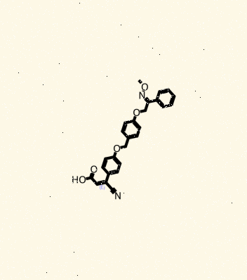 CON=C(COc1ccc(COc2ccc(/C(C#N)=C\C(=O)O)cc2)cc1)c1ccccc1